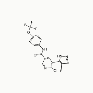 O=C(Nc1ccc(OC(F)(F)F)cc1)c1cnc(Cl)c(-c2[nH]ncc2F)c1